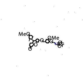 COc1ccc(-c2c3ccc(=O)cc-3oc3cc(OCc4ccc(OC/C=C/B5OC(C)(C)C(C)(C)O5)c(OC)c4)ccc23)c(C)c1